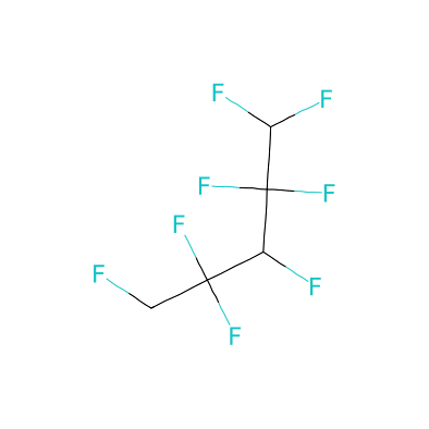 FCC(F)(F)C(F)C(F)(F)C(F)F